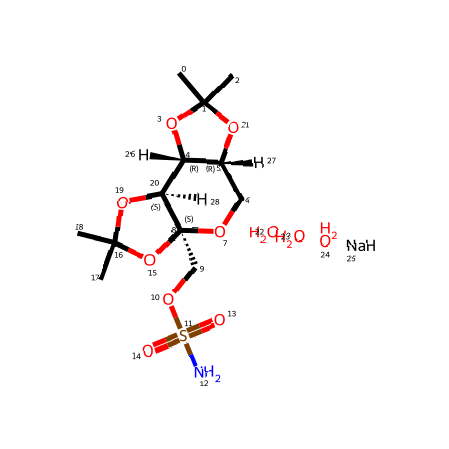 CC1(C)O[C@@H]2[C@@H](CO[C@@]3(COS(N)(=O)=O)OC(C)(C)O[C@@H]23)O1.O.O.O.[NaH]